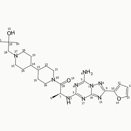 C[C@H](Nc1nc(N)n2nc(-c3ccco3)nc2n1)C(=O)N1CCC(C2CCN(CC(C)(C)O)CC2)CC1